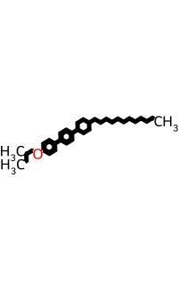 CCCCCCCCCCCCC1CCC(c2ccc(-c3ccc(OCC(C)CC)cc3)cc2)CC1